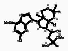 COc1nc(Cl)nc2c1ncn2[C@@H]1O[C@H](C(O)CC(C)(OC)OC)[C@H]2OC(C)(C)OC[C@]21C